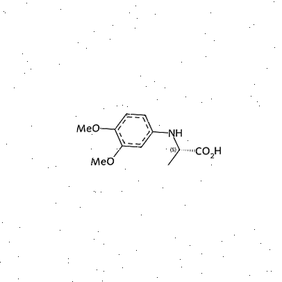 COc1ccc(N[C@@H](C)C(=O)O)cc1OC